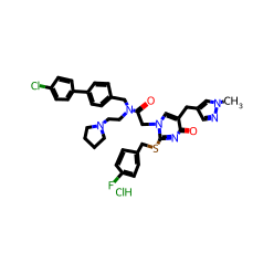 Cl.Cn1cc(Cc2cn(CC(=O)N(CCN3CCCC3)Cc3ccc(-c4ccc(Cl)cc4)cc3)c(SCc3ccc(F)cc3)nc2=O)cn1